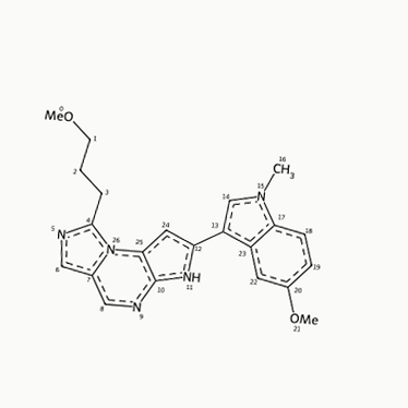 COCCCc1ncc2cnc3[nH]c(-c4cn(C)c5ccc(OC)cc45)cc3n12